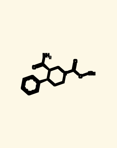 CC(C)(C)OC(=O)N1CC[C@@H](c2ccccc2)[C@@H](C(N)=O)C1